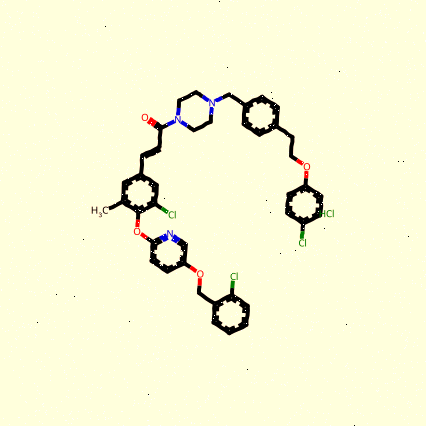 Cc1cc(/C=C/C(=O)N2CCN(Cc3ccc(CCOc4ccc(Cl)cc4)cc3)CC2)cc(Cl)c1Oc1ccc(OCc2ccccc2Cl)cn1.Cl